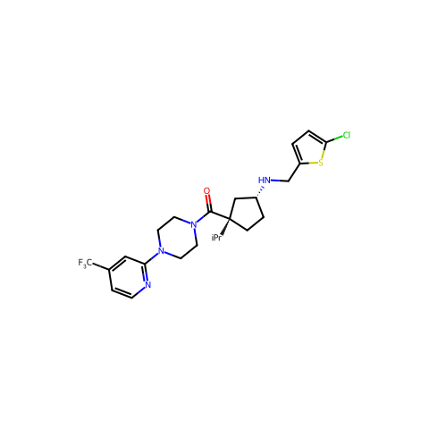 CC(C)[C@]1(C(=O)N2CCN(c3cc(C(F)(F)F)ccn3)CC2)CC[C@@H](NCc2ccc(Cl)s2)C1